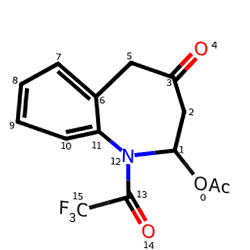 CC(=O)OC1CC(=O)Cc2ccccc2N1C(=O)C(F)(F)F